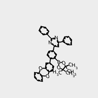 CC1(C)OB(c2cc(-c3cc(-c4ccccc4)nc(-c4ccccc4)n3)ccc2-c2ccc3c(c2)Oc2ccccc2O3)OC1(C)C